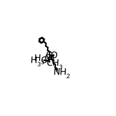 CCC(C)(C)N(CCCCCN)C(=O)OCCCCCc1ccccc1